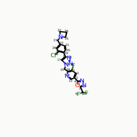 Fc1cc(-c2nnc(C(F)F)o2)cnc1Cn1cc(-c2ccc(CN3CCC3)cc2Cl)nn1